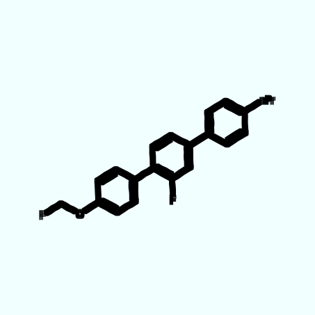 CCCc1ccc(-c2ccc(-c3ccc(OCF)cc3)c(F)c2)cc1